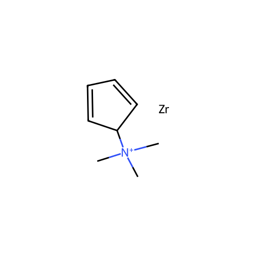 C[N+](C)(C)C1C=CC=C1.[Zr]